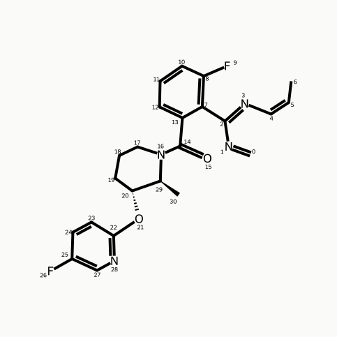 C=N/C(=N\C=C/C)c1c(F)cccc1C(=O)N1CCC[C@@H](Oc2ccc(F)cn2)[C@@H]1C